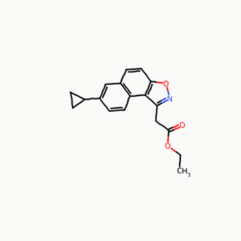 CCOC(=O)Cc1noc2ccc3cc(C4CC4)ccc3c12